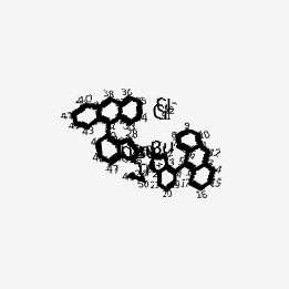 CCCCC1=Cc2c(-c3c4ccccc4cc4ccccc34)cccc2[CH]1[Ti+2]1([CH]2C(CCCC)=Cc3c(-c4c5ccccc5cc5ccccc45)cccc32)[CH2][CH2]1.[Cl-].[Cl-]